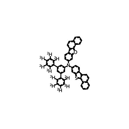 [2H]c1c([2H])c([2H])c(-c2cc(-c3c([2H])c([2H])c([2H])c([2H])c3[2H])cc(N(c3ccc4c(c3)oc3c5ccccc5ccc43)c3ccc4c(c3)sc3c5ccccc5ccc43)c2)c([2H])c1[2H]